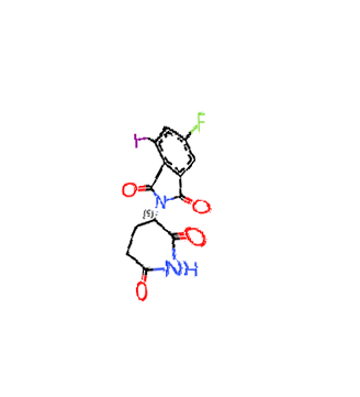 O=C1CC[C@H](N2C(=O)c3cc(F)cc(I)c3C2=O)C(=O)N1